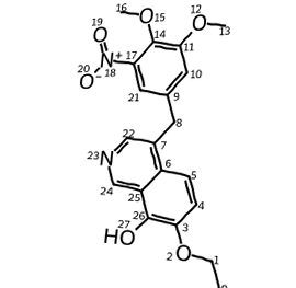 CCOc1ccc2c(Cc3cc(OC)c(OC)c([N+](=O)[O-])c3)cncc2c1O